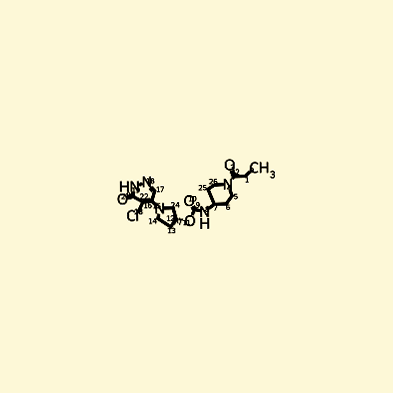 CCC(=O)N1CCC(NC(=O)O[C@@H]2CCN(c3cn[nH]c(=O)c3Cl)C2)CC1